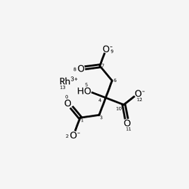 O=C([O-])CC(O)(CC(=O)[O-])C(=O)[O-].[Rh+3]